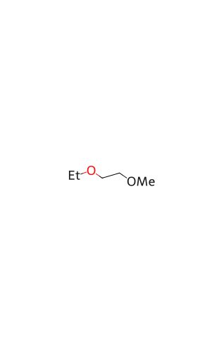 [CH2]COCCOC